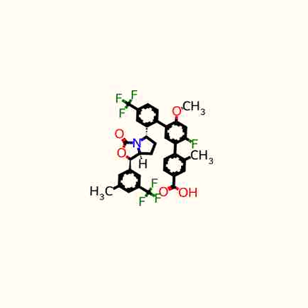 COc1cc(F)c(-c2ccc(C(=O)O)cc2C)cc1-c1ccc(C(F)(F)F)cc1[C@@H]1CC[C@H]2[C@@H](c3cc(C)cc(C(F)(F)F)c3)OC(=O)N12